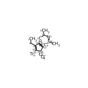 CC(C)N=[Si](C)C.CCC1=[C]([Ti+2])CC=C1.[Cl-].[Cl-]